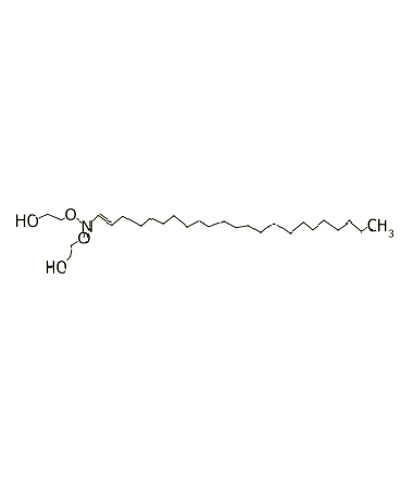 CCCCCCCCCCCCCCCCCCCCCC=CN(OCCO)OCCO